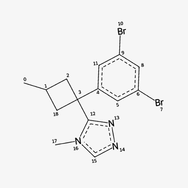 CC1CC(c2cc(Br)cc(Br)c2)(c2nncn2C)C1